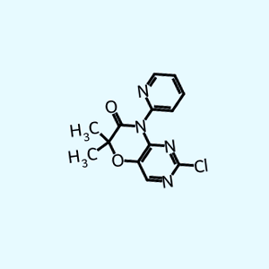 CC1(C)Oc2cnc(Cl)nc2N(c2ccccn2)C1=O